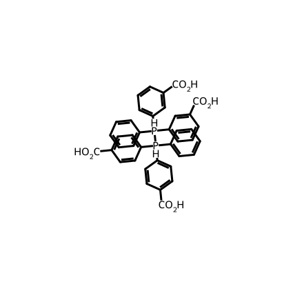 O=C(O)c1ccc([PH](c2ccccc2)(c2ccc(C(=O)O)cc2)[PH](c2ccccc2)(c2cccc(C(=O)O)c2)c2cccc(C(=O)O)c2)cc1